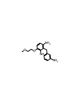 COCCOc1ccc(N)c(Cc2cccc(N)c2)c1N